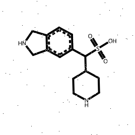 O=S(=O)(O)C(c1ccc2c(c1)CNC2)C1CCNCC1